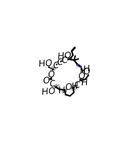 C=CC[C@]1(O)CCC[C@H](CO)OC(=O)C[C@H](O)C[C@@H]2CCC[C@H](C[C@@H]3CCO[C@H](/C=C/C1(C)C)O3)O2